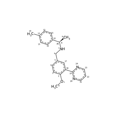 COc1ccc(CN[C@H](C)c2ccc(C)cc2)cc1-c1ncccn1